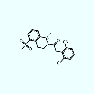 C[C@H]1c2cccc(S(C)(=O)=O)c2CCN1C(=O)Cc1c(Cl)cccc1C#N